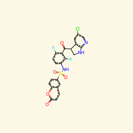 O=C(c1c(F)ccc(NS(=O)(=O)c2ccc3oc(=O)ccc3c2)c1F)C1CNc2ncc(Cl)cc21